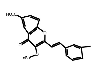 CCCCOc1c(/C=C/c2cccc(C)c2)oc2ccc(C(=O)O)cc2c1=O